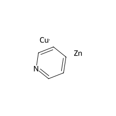 [Cu].[Zn].c1ccncc1